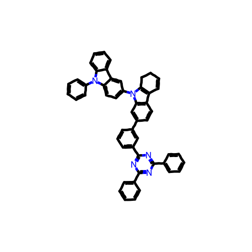 C1=Cc2c(n(-c3ccc4c(c3)c3ccccc3n4-c3ccccc3)c3cc(-c4cccc(-c5nc(-c6ccccc6)nc(-c6ccccc6)n5)c4)ccc23)CC1